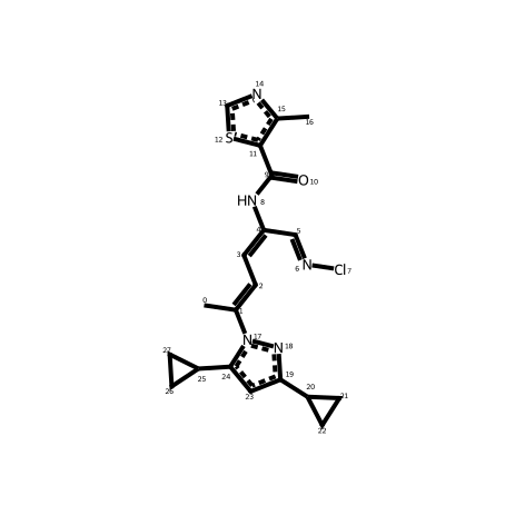 C/C(=C\C=C(/C=NCl)NC(=O)c1scnc1C)n1nc(C2CC2)cc1C1CC1